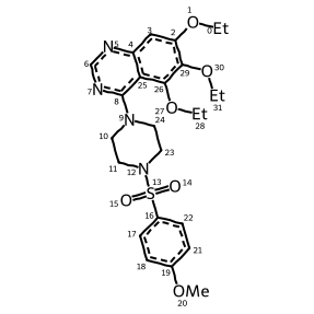 CCOc1cc2ncnc(N3CCN(S(=O)(=O)c4ccc(OC)cc4)CC3)c2c(OCC)c1OCC